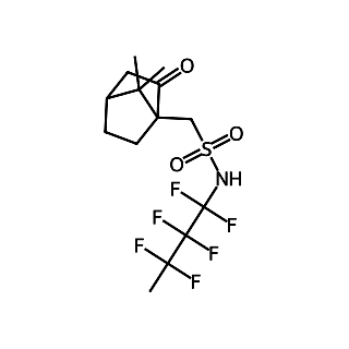 CC(F)(F)C(F)(F)C(F)(F)NS(=O)(=O)CC12CCC(CC1=O)C2(C)C